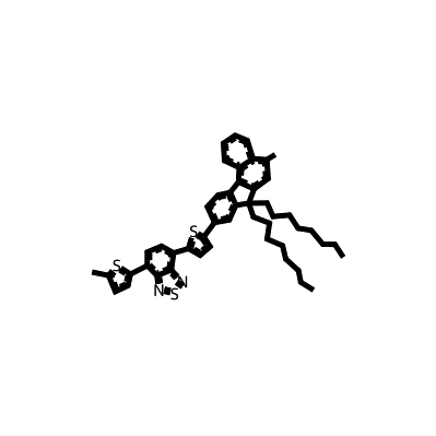 CCCCCCCCC1(CCCCCCCC)c2cc(-c3ccc(-c4ccc(-c5ccc(C)s5)c5nsnc45)s3)ccc2-c2c1cc(C)c1ccccc21